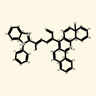 C=C/C(=C\C=C(/C)c1nc2ccccc2n1-c1ccccc1)c1c2c(nc3c1ccc1ccccc13)C1C=CC=CC1(C)C=C2